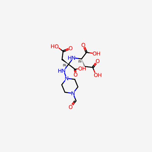 O=CN1CCN(N[C@](CC(=O)O)(N[C@@H](CC(=O)O)C(=O)O)C(=O)O)CC1